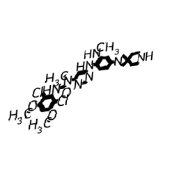 CNc1cc(N2CC3(CCNCC3)C2)ccc1Nc1cc(N(C)C(=O)Nc2c(Cl)c(OC)cc(OC)c2Cl)ncn1